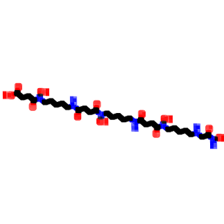 O=C(O)CCC(=O)N(O)CCCCCNC(=O)CCC(=O)N(O)CCCCCNC(=O)CCC(=O)N(O)CCCCCNCC(=O)NO